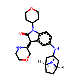 CN1[C@@H]2CC[C@H]1CC(Nc1ccc3c(c1)/C(=C1\COCCN1)C(=O)N3C1CCOCC1)C2